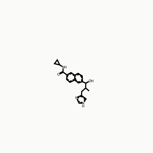 CC(Cc1c[nH]cn1)C(O)c1ccc2cc(C(=O)NC3CC3)ccc2c1